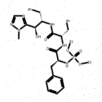 CCOP(=O)(N[C@@H](Cc1ccccc1)C(=O)N[C@@H](CC(C)C)C(=O)N[C@@H](CC(C)C)[C@@H](O)c1ncnn1C)OCC